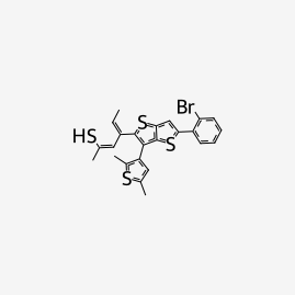 C/C=C(/C=C(/C)S)c1sc2cc(-c3ccccc3Br)sc2c1-c1cc(C)sc1C